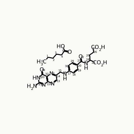 CCCCCC(=O)O.Nc1nc2ncc(CNc3ccc(C(=O)NC(CCC(=O)O)C(=O)O)cc3)nc2c(=O)[nH]1